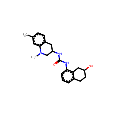 CN1CC(NC(=O)Nc2cccc3c2CC(O)CC3)Cc2ccc(C(F)(F)F)cc21